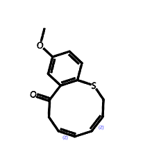 COc1ccc2c(c1)C(=O)C/C=C\C=C/CS2